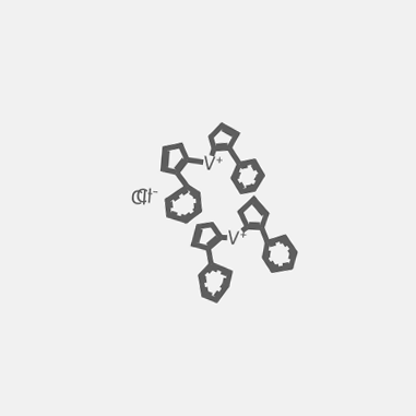 C1=CC(c2ccccc2)=[C]([V+][C]2=C(c3ccccc3)C=CC2)C1.C1=CC(c2ccccc2)=[C]([V+][C]2=C(c3ccccc3)C=CC2)C1.[Cl-].[Cl-]